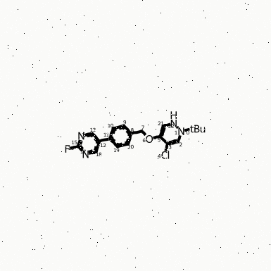 CC(C)(C)N1C=C(Cl)C(OCc2ccc(-c3cnc(F)nc3)cc2)=CN1